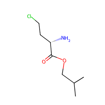 CC(C)COC(=O)[C@@H](N)CCCl